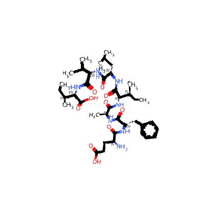 CC[C@H](C)[C@H](NC(=O)[C@@H](NC(=O)[C@H](CC(C)C)NC(=O)[C@@H](NC(=O)[C@H](C)NC(=O)[C@H](Cc1ccccc1)NC(=O)[C@@H](N)CCC(=O)O)[C@@H](C)CC)C(C)C)C(=O)O